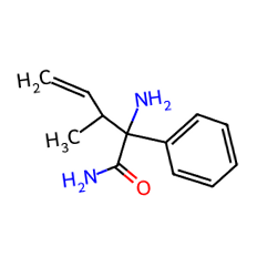 C=CC(C)C(N)(C(N)=O)c1ccccc1